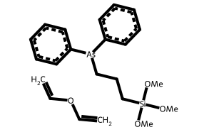 C=COC=C.CO[Si](CCC[As](c1ccccc1)c1ccccc1)(OC)OC